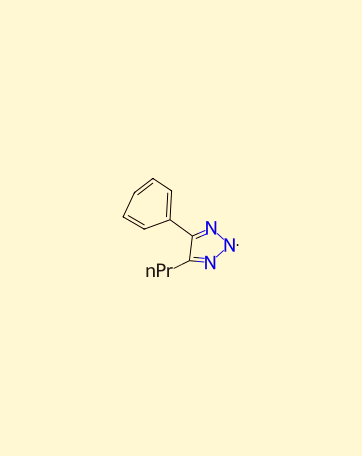 CCCC1=N[N]N=C1c1ccccc1